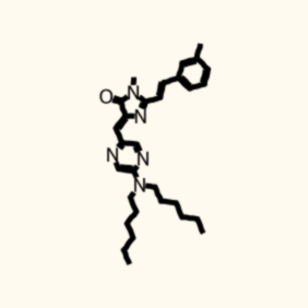 CCCCCCN(CCCCCC)c1cnc(/C=C2N=C(/C=C/c3cccc(C)c3)N(C)C\2=O)cn1